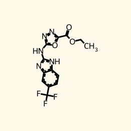 CCOC(=O)c1nnc(Nc2nc3cc(C(F)(F)F)ccc3[nH]2)o1